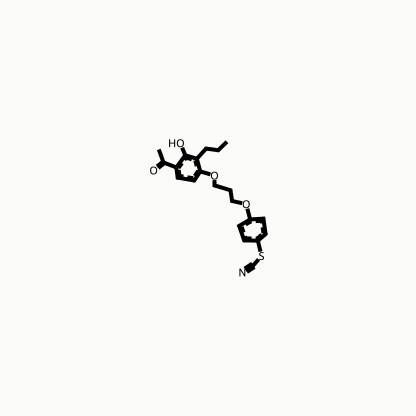 CCCc1c(OCCCOc2ccc(SC#N)cc2)ccc(C(C)=O)c1O